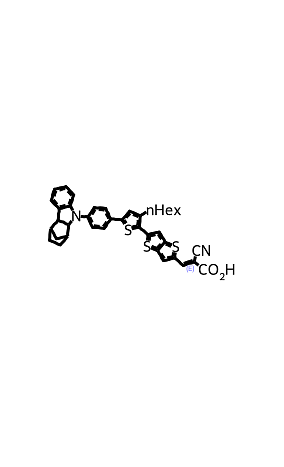 CCCCCCc1cc(-c2ccc(N3c4ccccc4C4C5CCC(C5)C43)cc2)sc1-c1cc2sc(/C=C(\C#N)C(=O)O)cc2s1